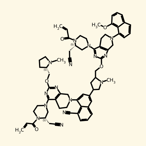 C=CC(=O)N1CCN(c2nc(OC[C@@H]3CCCN3C)nc3c2CCN(c2cc(C4CC(COc5nc6c(c(N7CCN(C(=O)C=C)[C@@H](CC#N)C7)n5)CCN(c5cccc7cccc(OC)c57)C6)N(C)C4)cc4cccc(C#N)c24)C3)C[C@@H]1CC#N